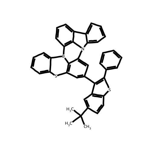 CC(C)(C)c1ccc2sc(-c3ccccc3)c(-c3cc4c5c(c3)-n3c6ccccc6c6cccc(c63)B5c3ccccc3S4)c2c1